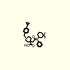 O=C(CC1(C(=O)O)CCN(Cc2ccc(C3CC3)cc2)CC1)N(c1ccccc1)C1CCCC(F)(F)C1